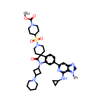 CC(C)n1cnc2cc(-c3ccc4c(c3)N(C3CC(N5CCCCC5)C3)C(=O)C43CCN(S(=O)(=O)C4CCN(C(=O)OC(C)(C)C)CC4)CC3)nc(NC3CC3)c21